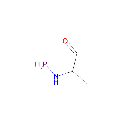 CC(C=O)NP